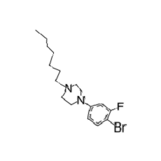 CCCCCCCN1CCN(c2ccc(Br)c(F)c2)CC1